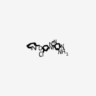 CN(C)c1cc2ncnc(Nc3ccc(OCc4ccccn4)c(Cl)c3)c2cc1N